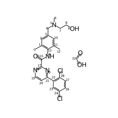 Cc1cc(CN(C)CCO)cc(C)c1NC(=O)c1nccc(-c2cc(Cl)ccc2Cl)n1.O=CO